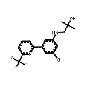 CC(C)(O)CNc1cc(Cl)cc(-c2cccc(C(F)(F)F)n2)c1